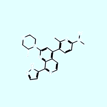 Cc1nc([S+](C)[O-])ccc1-c1cc(N2CCOC[C@H]2C)nc2c(-c3ccn[nH]3)nccc12